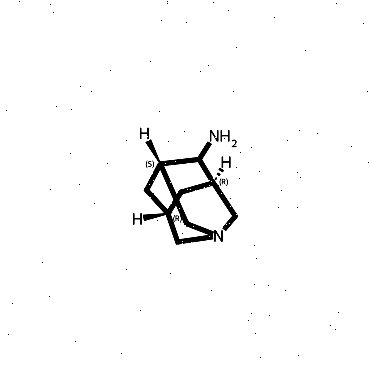 NC1[C@@H]2C[C@H]3C[C@H]1CN(C3)C2